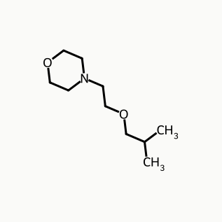 CC(C)COCCN1CCOCC1